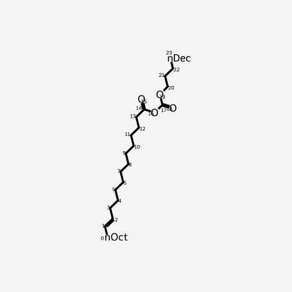 CCCCCCCCC=CCCCCCCCCCCCC(=O)OC(=O)OCCCCCCCCCCCCC